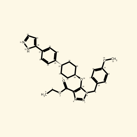 CCOC(=O)c1nnn(Cc2ccc(OC)cc2)c1O[C@H]1CC[C@H](c2ccc(-c3ccn[nH]3)cc2)CC1